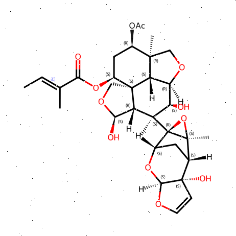 C/C=C(\C)C(=O)O[C@H]1C[C@@H](OC(C)=O)[C@@]2(C)CO[C@H]3[C@@H](O)[C@@](C)([C@]45O[C@@]4(C)[C@H]4C[C@@H]5O[C@@H]5OC=C[C@@]54O)[C@@H]4[C@@H](O)OC[C@@]14[C@@H]32